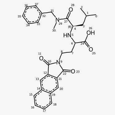 CC(C)C[C@@H](NC(CCN1C(=O)c2cc3ccccc3cc2C1=O)C(=O)O)C(=O)N(C)Cc1ccccc1